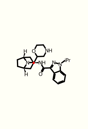 CC(C)n1nc(C(=O)N[C@@H]2C[C@H]3CC[C@@H](C2)N3CC2CNCCO2)c2ccccc21